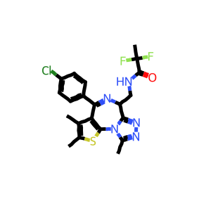 Cc1sc2c(c1C)C(c1ccc(Cl)cc1)=NC(CNC(=O)C(C)(F)F)c1nnc(C)n1-2